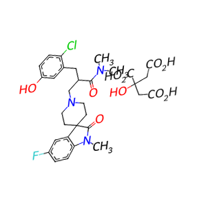 CN(C)C(=O)C(Cc1cc(O)ccc1Cl)CN1CCC2(CC1)C(=O)N(C)c1ccc(F)cc12.O=C(O)CC(O)(CC(=O)O)C(=O)O